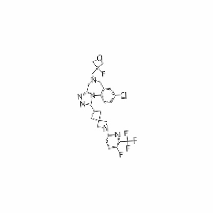 Fc1ccc(N2CC3(CC(c4nnc5n4-c4ccc(Cl)cc4CN(CC4(F)COC4)C5)C3)C2)nc1C(F)(F)F